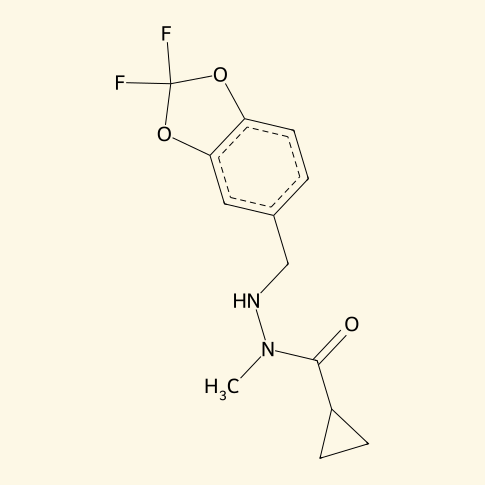 CN(NCc1ccc2c(c1)OC(F)(F)O2)C(=O)C1CC1